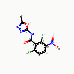 Cc1nnc(NC(=O)c2c(F)ccc([N+](=O)[O-])c2F)o1